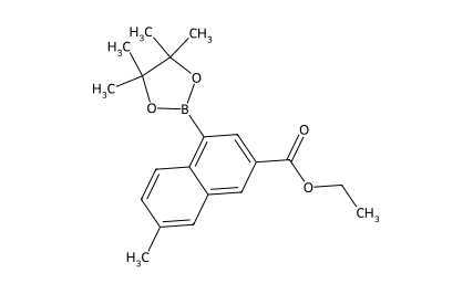 CCOC(=O)c1cc(B2OC(C)(C)C(C)(C)O2)c2ccc(C)cc2c1